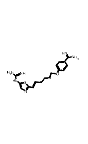 N=C(N)Nc1cnc(/C=C/CCCCOc2ccc(C(=N)N)cc2)s1